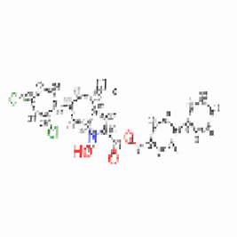 O=C(OCc1ccc(-c2ccccc2)cc1)c1cc2c(C(F)(F)F)cc(-c3ccc(Cl)cc3Cl)cc2n1O